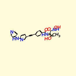 C[C@@H](O)[C@H](NC(=O)c1ccc(C#Cc2ccc(Nc3ccncc3)nc2)cc1)C(=O)NO